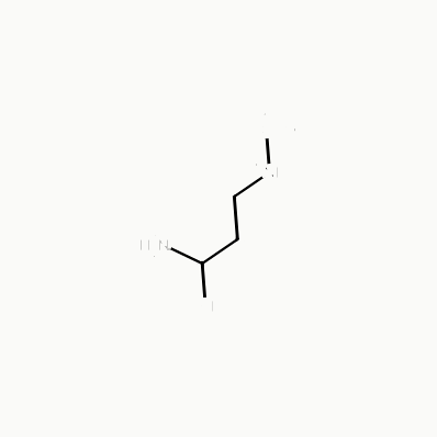 CC(N)CCNC=O